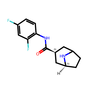 O=C(Nc1ccc(F)cc1F)[C@H]1CC2CC[C@@H](C1)N2